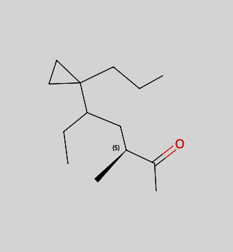 CCCC1(C(CC)C[C@H](C)C(C)=O)CC1